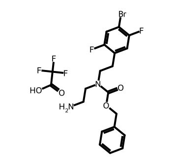 NCCN(CCc1cc(F)c(Br)cc1F)C(=O)OCc1ccccc1.O=C(O)C(F)(F)F